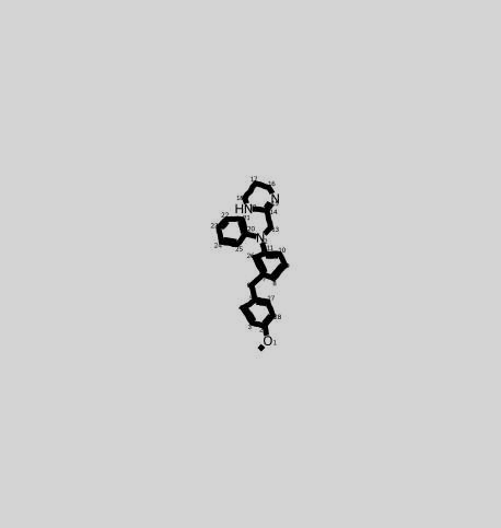 COc1ccc(Cc2cccc(N(CC3=NCCCN3)c3ccccc3)c2)cc1